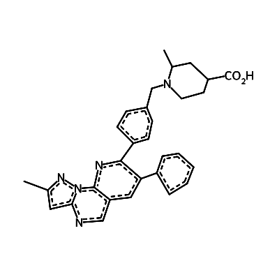 Cc1cc2ncc3cc(-c4ccccc4)c(-c4ccc(CN5CCC(C(=O)O)CC5C)cc4)nc3n2n1